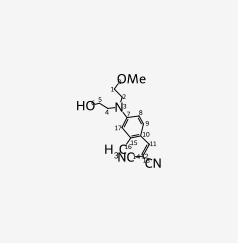 COCCN(CCO)c1ccc(C=C(C#N)C#N)c(C)c1